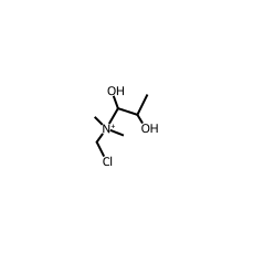 CC(O)C(O)[N+](C)(C)CCl